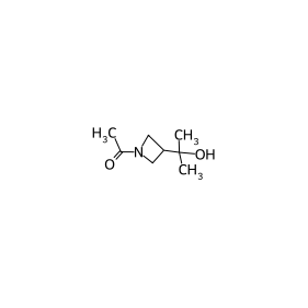 CC(=O)N1CC(C(C)(C)O)C1